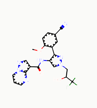 COc1ccc(C#N)cc1-c1nn(CC(O)C(F)(F)F)cc1NC(=O)c1cnn2cccnc12